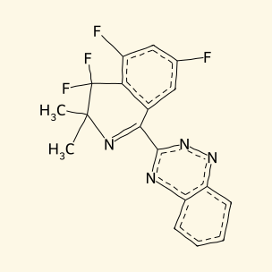 CC1(C)N=C(c2nnc3ccccc3n2)c2cc(F)cc(F)c2C1(F)F